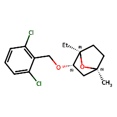 CC[C@@]12CC[C@@](C)(C[C@@H]1OCc1c(Cl)cccc1Cl)O2